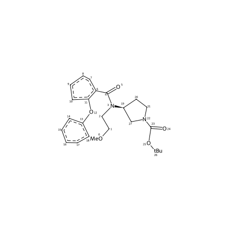 COCCN(C(=O)c1ccccc1Oc1ccccc1)[C@H]1CCN(C(=O)OC(C)(C)C)C1